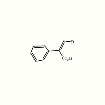 CCC=C(C(=O)OCC)c1ccccc1